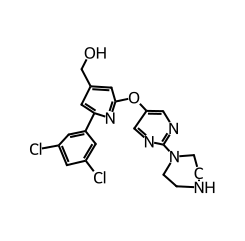 OCc1cc(Oc2cnc(N3CCNCC3)nc2)nc(-c2cc(Cl)cc(Cl)c2)c1